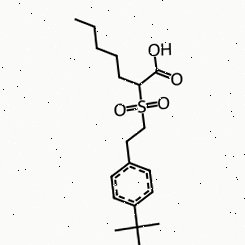 CCCCCC(C(=O)O)S(=O)(=O)CCc1ccc(C(C)(C)C)cc1